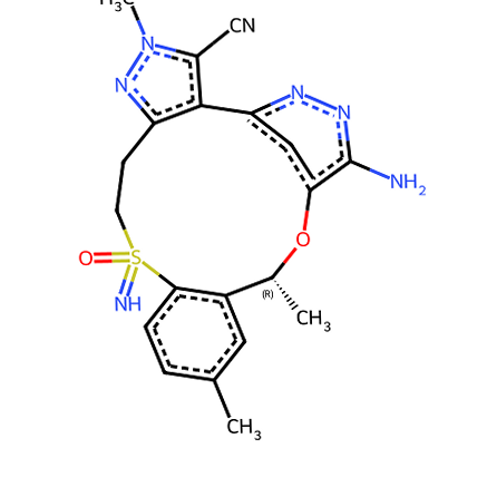 Cc1ccc2c(c1)[C@@H](C)Oc1cc(nnc1N)-c1c(nn(C)c1C#N)CCS2(=N)=O